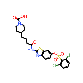 O=C(CCCC1CCN(C(=O)O)CC1)Nc1nc2ccc(OS(=O)(=O)c3c(Cl)cccc3Cl)cc2s1